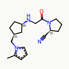 Cc1cccn1C[C@H]1CC[C@@H](NCC(=O)N2CCC[C@H]2C#N)C1